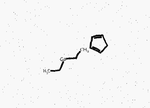 C1=CCC=C1.C[CH2][Ga][CH2]C